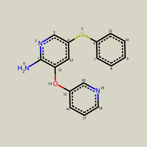 Nc1ncc(Sc2ccccc2)cc1Oc1cccnc1